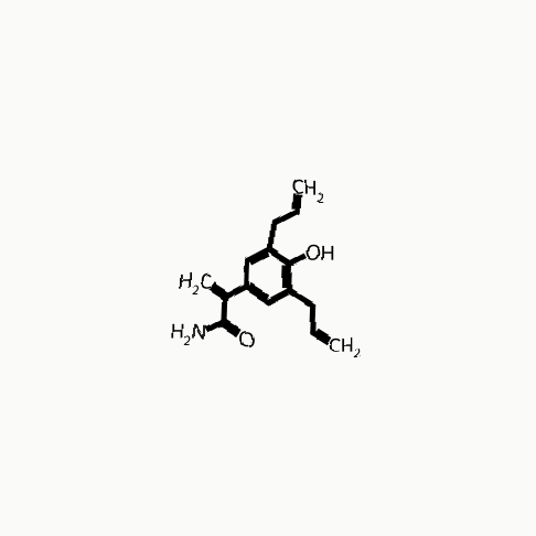 C=CCc1cc(C(=C)C(N)=O)cc(CC=C)c1O